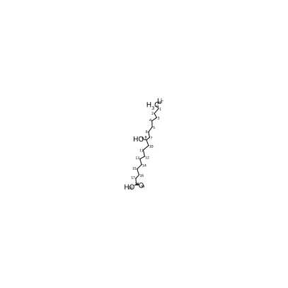 CCCCCCCCC(O)CCCCCCCCC(=O)O.[Li]